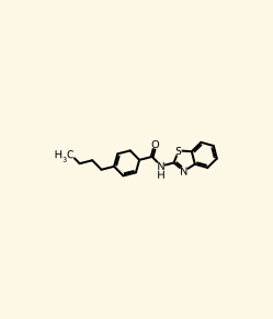 CCCCC1=CCC(C(=O)Nc2nc3ccccc3s2)C=C1